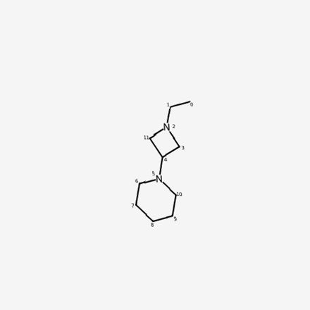 CCN1CC(N2CCCCC2)C1